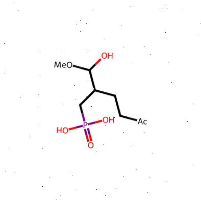 COC(O)C(CCC(C)=O)CP(=O)(O)O